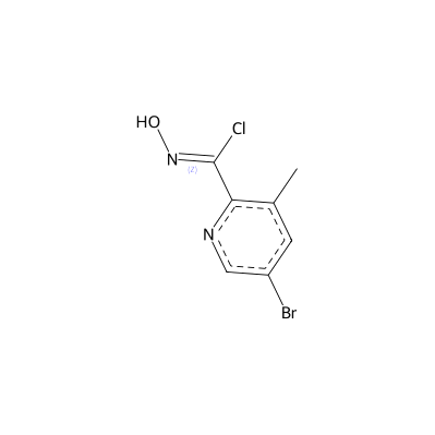 Cc1cc(Br)cnc1/C(Cl)=N/O